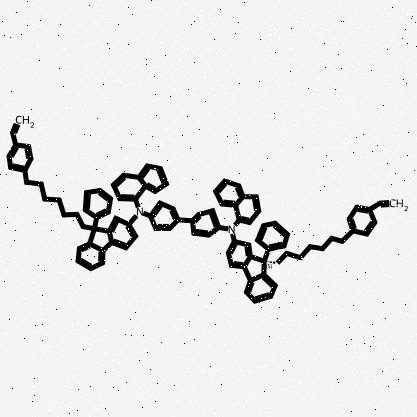 C=Cc1ccc(CCCCCCCC2(c3ccccc3)c3ccccc3-c3ccc(N(c4ccc(-c5ccc(N(c6ccc7c(c6)[C@@](CCCCCCCc6ccc(C=C)cc6)(c6ccccc6)c6ccccc6-7)c6cccc7ccccc67)cc5)cc4)c4cccc5ccccc45)cc32)cc1